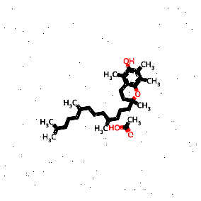 CC(=O)O.Cc1c(C)c2c(c(C)c1O)CCC(C)(CCCC(C)CCCC(C)CCCC(C)C)O2